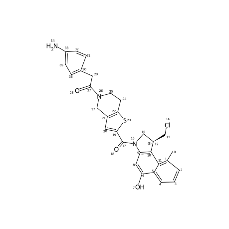 Cc1cccc2c(O)cc3c(c12)[C@H](CCl)CN3C(=O)c1cc2c(s1)CCN(C(=O)Cc1ccc(N)cc1)C2